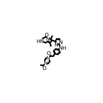 CC(=O)N1CCN(C(=O)Cc2ccc(Nc3nccc(-c4c(C)c5n(c4C)C(=O)CNC5)n3)cc2)CC1